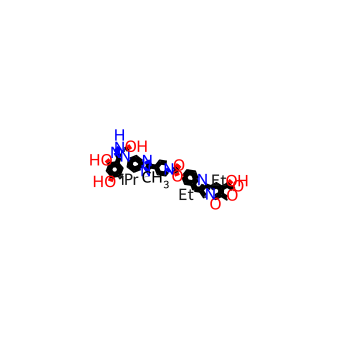 CCc1c2c(nc3ccc(OC(=O)N4CCC(c5nc6cc(N7C(c8cc(C(C)C)c(O)cc8O)=NNC7O)ccc6n5C)CC4)cc13)-c1cc3c(c(=O)n1C2)COC(=O)C3(O)CC